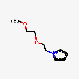 CCCCOCCOCCn1cccc1